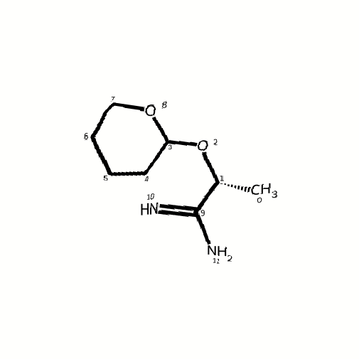 C[C@@H](OC1CCCCO1)C(=N)N